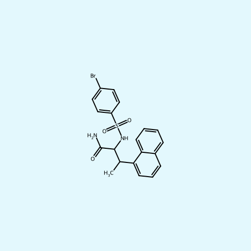 CC(c1cccc2ccccc12)C(NS(=O)(=O)c1ccc(Br)cc1)C(N)=O